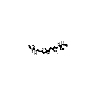 CN=C(NC#N)NCCC(N)Cc1cc(CC(N)CCNC(=NC)NC#N)sn1